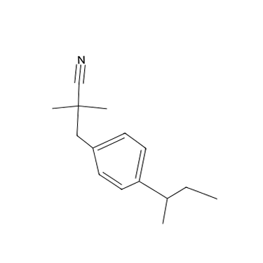 CCC(C)c1ccc(CC(C)(C)C#N)cc1